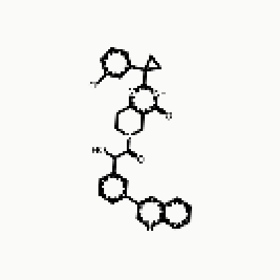 O=C(C(O)c1cccc(-c2cnc3ccccc3c2)c1)N1CCc2nc(C3(c4cccc(Cl)c4)CC3)[nH]c(=O)c2C1